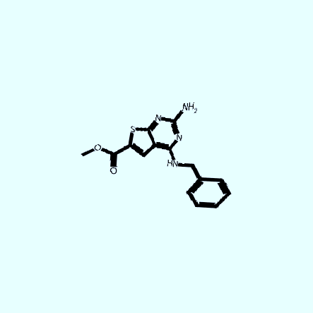 COC(=O)c1cc2c(NCc3ccccc3)nc(N)nc2s1